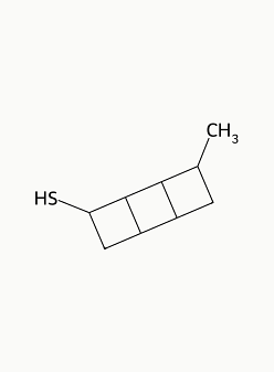 CC1CC2C3CC(S)C3C12